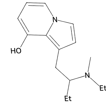 CCC(Cc1ccn2cccc(O)c12)N(C)CC